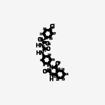 O=C(Nc1ccc(-n2c(=O)[nH]c3ccccc3c2=O)cc1)NS(=O)(=O)c1ccc(Cl)cc1